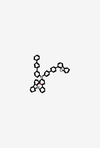 c1ccc(-c2ccc(-c3cccc(N(c4ccc(-c5ccc(-c6cccc7c6oc6ccccc67)cc5)cc4)c4ccc(-c5ccccc5-n5c6ccccc6c6ccccc65)cc4)c3)cc2)cc1